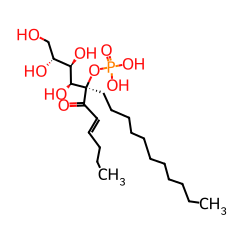 CCCC=CC(=O)[C@](CCCCCCCCCCC)(OP(=O)(O)O)[C@@H](O)[C@H](O)[C@H](O)CO